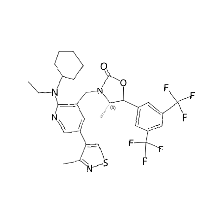 CCN(c1ncc(-c2csnc2C)cc1CN1C(=O)OC(c2cc(C(F)(F)F)cc(C(F)(F)F)c2)[C@@H]1C)C1CCCCC1